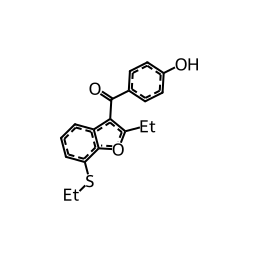 CCSc1cccc2c(C(=O)c3ccc(O)cc3)c(CC)oc12